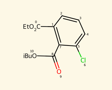 CCOC(=O)c1cccc(Cl)c1C(=O)OCC(C)C